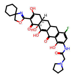 O=C(CN1CCCC1)Nc1cc(F)c2c(c1O)C(=O)C1=C(O)[C@]3(O)C(=O)C(C4=NC5(CCCCC5)CO4)=C(O)C[C@@H]3CC1C2